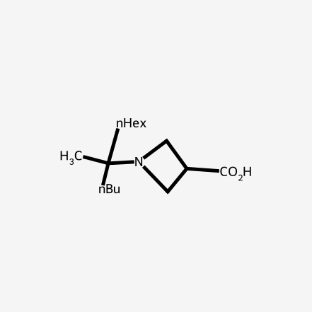 CCCCCCC(C)(CCCC)N1CC(C(=O)O)C1